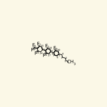 CCCCCc1ccc(-c2cc(F)c(C3=CC(F)=C(C(F)F)C(F)C3)c(F)c2)c(F)c1